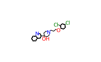 OC1(c2cnc3ccccc3c2)CCN(CCCOc2ccc(Cl)cc2Cl)CC1